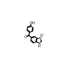 O=C(c1ccc(O)cc1)c1ccc2c(c1)[S+]([O-])CN2